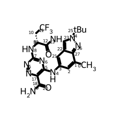 Cc1cc(Nc2nc(N[C@H](CC(F)(F)F)C(N)=O)nnc2C(N)=O)cc2cn(C(C)(C)C)nc12